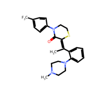 CC(=C1SCCN(c2ccc(C(F)(F)F)cc2)C1=O)c1ccccc1N1CCN(C)CC1